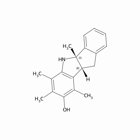 Cc1c(C)c2c(c(C)c1O)[C@H]1Cc3ccccc3[C@@]1(C)N2